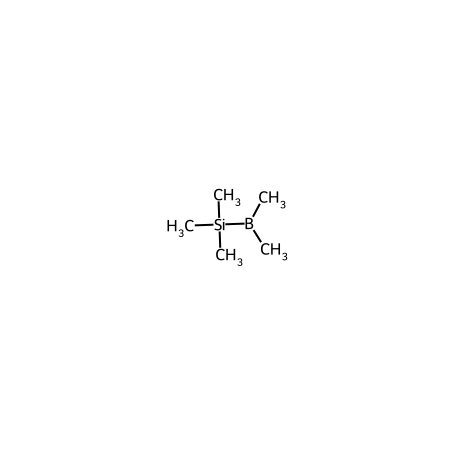 CB(C)[Si](C)(C)C